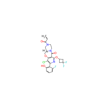 C=CC(=O)N1CCN2C(=O)c3c(OC4CC(F)(F)C4)nc(-c4c(O)cccc4F)c(Cl)c3OC[C@H]2C1